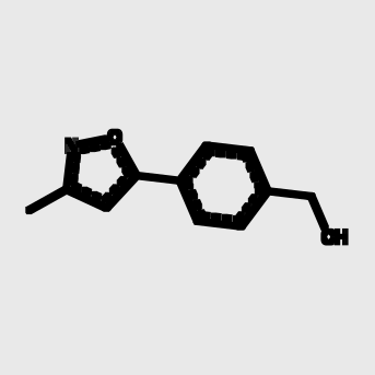 Cc1cc(-c2ccc(CO)cc2)on1